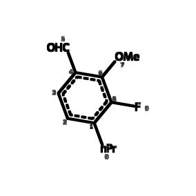 CCCc1ccc(C=O)c(OC)c1F